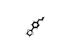 C=CCc1ccc(C2OCCO2)cc1